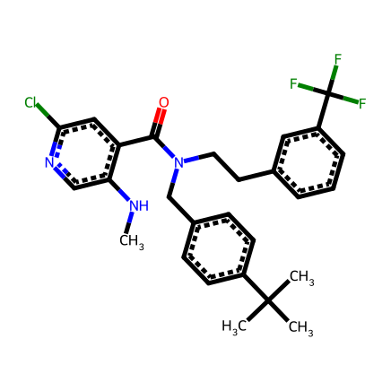 CNc1cnc(Cl)cc1C(=O)N(CCc1cccc(C(F)(F)F)c1)Cc1ccc(C(C)(C)C)cc1